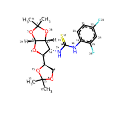 CC1(C)O[C@H]2O[C@H]([C@H]3COC(C)(C)O3)[C@@H](NC(=S)Nc3ccc(F)cc3F)[C@H]2O1